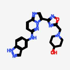 OC1CCN(Cc2nc(-c3cnc4ccc(Nc5ccc6[nH]ncc6c5)nn34)no2)CC1